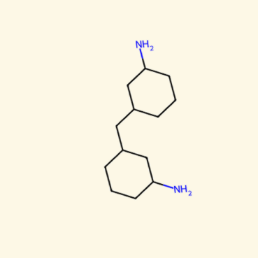 NC1CCCC(CC2CCCC(N)C2)C1